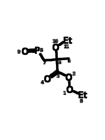 CCOOC(=O)C(C)(CP=O)OCC